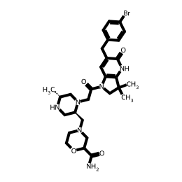 C[C@@H]1CN(CC(=O)N2CC(C)(C)c3[nH]c(=O)c(Cc4ccc(Br)cc4)cc32)[C@@H](CN2CCOC(C(N)=O)C2)CN1